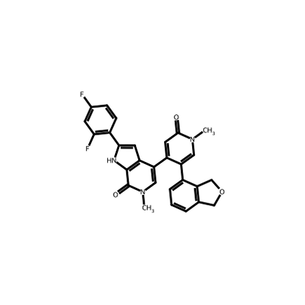 Cn1cc(-c2cccc3c2COC3)c(-c2cn(C)c(=O)c3[nH]c(-c4ccc(F)cc4F)cc23)cc1=O